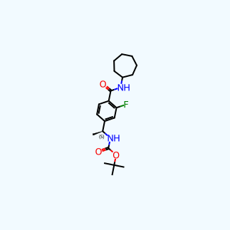 C[C@H](NC(=O)OC(C)(C)C)c1ccc(C(=O)NC2CCCCCC2)c(F)c1